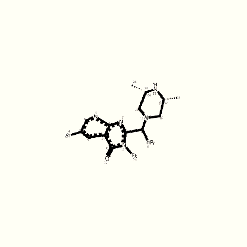 CCCC(c1nc2ncc(Br)cc2c(=O)n1CC)N1C[C@@H](C)N[C@@H](C)C1